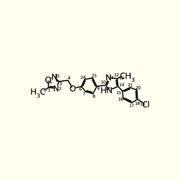 Cc1nc(COc2ccc(-c3nc(C)c(-c4ccc(Cl)cc4)[nH]3)cc2)no1